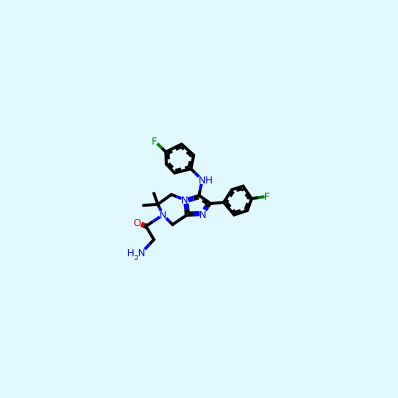 CC1(C)Cn2c(nc(-c3ccc(F)cc3)c2Nc2ccc(F)cc2)CN1C(=O)CN